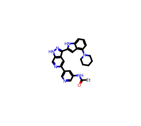 CCC(=O)Nc1cncc(-c2cc3c(-c4cc5c(N6CCCCC6)cccc5[nH]4)n[nH]c3cn2)c1